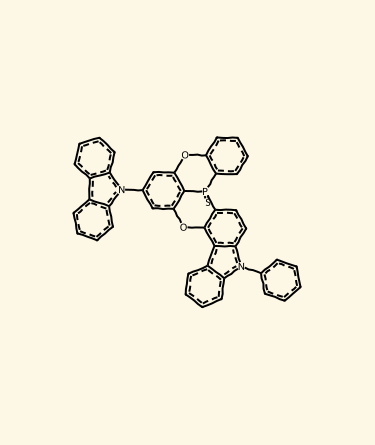 S=P12c3ccccc3Oc3cc(-n4c5ccccc5c5ccccc54)cc(c31)Oc1c2ccc2c1c1ccccc1n2-c1ccccc1